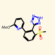 COc1cccc(-c2cccc(S(C)(=O)=O)c2-c2nn[nH]n2)n1